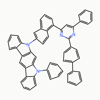 c1ccc(-c2ccc(-c3nc(-c4ccccc4)cc(-c4cccc5cc(-n6c7ccccc7c7cc8c9ccccc9n(-c9ccccc9)c8cc76)ccc45)n3)cc2)cc1